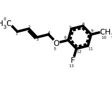 CCC=CCOc1ccc(C)cc1F